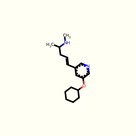 CNC(C)CC=Cc1cncc(OC2CCCCC2)c1